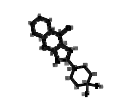 O=c1c2ccccc2oc2nc(N3CCC(F)(F)CC3)sc12